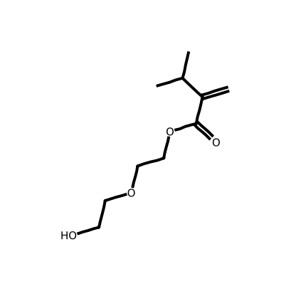 C=C(C(=O)OCCOCCO)C(C)C